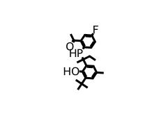 CCC(C)(Pc1ccc(F)cc1C(C)=O)c1cc(C)cc(C(C)(C)C)c1O